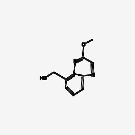 COc1cnc2cccc(CO)c2n1